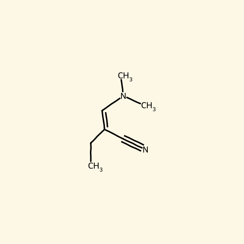 CCC(C#N)=CN(C)C